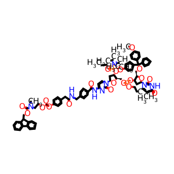 CCCOP(OC[C@H]1O[C@@H](n2ccc(NC(=O)c3ccc(CNC(=O)Cc4ccc(OC(=O)OCCN(C)C(=O)OCC5c6ccccc6-c6ccccc65)cc4)cc3)nc2=O)CC1OP(OCCC)N(C(C)C)C(C)C)OC1C[C@H](n2cc(C)c(=O)[nH]c2=O)O[C@@H]1COC(c1ccccc1)(c1ccc(OC)cc1)c1ccc(OC)cc1